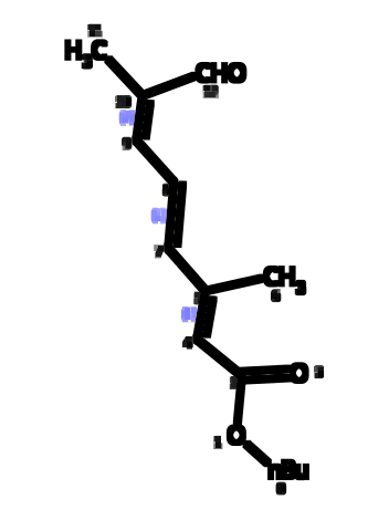 CCCCOC(=O)/C=C(C)/C=C/C=C(/C)C=O